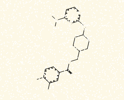 CN(C)c1ccnc(NC2CCC(CNC(=O)c3ccc(F)c(F)c3)CC2)n1